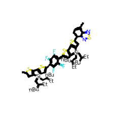 CCCCC(CC)C[Si]1(CC(CC)CCCC)c2cc(C)sc2-c2sc(-c3c(F)c(F)c(-c4cc5c(s4)-c4sc(-c6ccc(C)c7nsnc67)cc4[Si]5(CC(CC)CCCC)CC(CC)CCCC)c(F)c3F)cc21